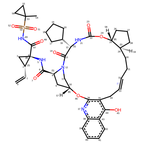 C=C[C@@H]1C[C@]1(NC(=O)[C@@H]1C[C@@H]2CN1C(=O)[C@H](C1CCCC1)NC(=O)O[C@@H]1CCC[C@H]1CC/C=C/Cc1c(nc3ccccc3c1O)O2)C(=O)NS(=O)(=O)C1(C)CC1